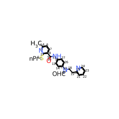 CCCSc1nc(C)ccc1C(=O)Nc1ccc(N(C=O)CCc2ccccn2)cc1